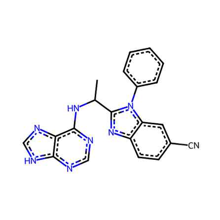 CC(Nc1ncnc2[nH]cnc12)c1nc2ccc(C#N)cc2n1-c1ccccc1